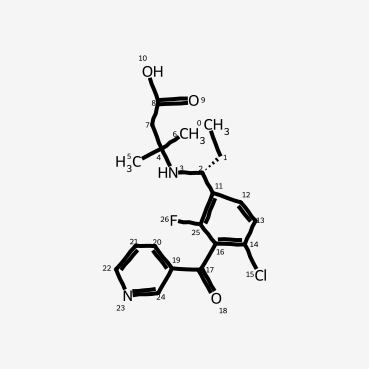 CC[C@@H](NC(C)(C)CC(=O)O)c1ccc(Cl)c(C(=O)c2cccnc2)c1F